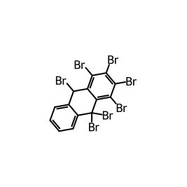 Brc1c(Br)c(Br)c2c(c1Br)C(Br)c1ccccc1C2(Br)Br